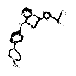 C=C(N)c1ccc(-c2cnc(Nc3ccc(N4CCN(C)CC4)cc3)c3nccn23)s1